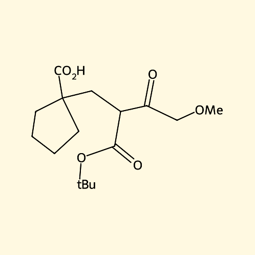 COCC(=O)C(CC1(C(=O)O)CCCC1)C(=O)OC(C)(C)C